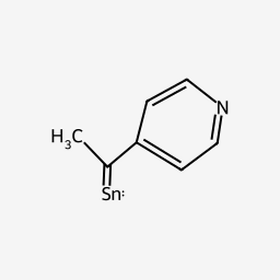 C[C](=[Sn])c1ccncc1